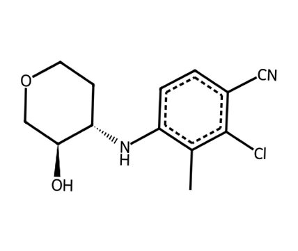 Cc1c(N[C@H]2CCOC[C@@H]2O)ccc(C#N)c1Cl